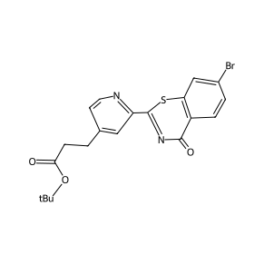 CC(C)(C)OC(=O)CCc1ccnc(-c2nc(=O)c3ccc(Br)cc3s2)c1